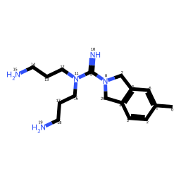 Cc1ccc2c(c1)CN(C(=N)N(CCCN)CCCN)C2